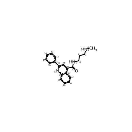 CNCCCNC(=O)c1cc(-c2ccccc2)nc2ccccc12